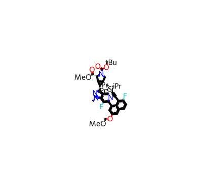 COCOc1cc(-c2ncc3c([C@H]4C5CN(C(=O)OC(C)(C)C)[C@@H](C(=O)OC)C54)nn(C)c3c2F)c2c(C#C[Si](C(C)C)(C(C)C)C(C)C)c(F)ccc2c1